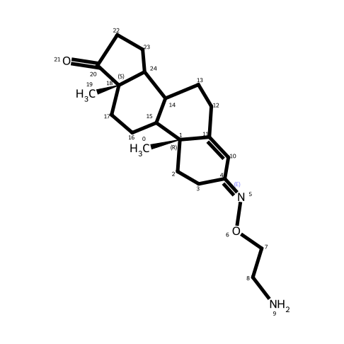 C[C@]12CC/C(=N\OCCN)C=C1CCC1C2CC[C@]2(C)C(=O)CCC12